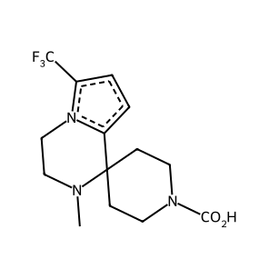 CN1CCn2c(C(F)(F)F)ccc2C12CCN(C(=O)O)CC2